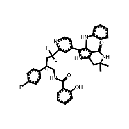 CC1(C)Cc2[nH]c(-c3ccnc(C(F)(F)C[C@@H](CNC(=O)c4ccccc4O)c4ccc(F)cc4)c3)c(Nc3ccccc3)c2C(=O)N1